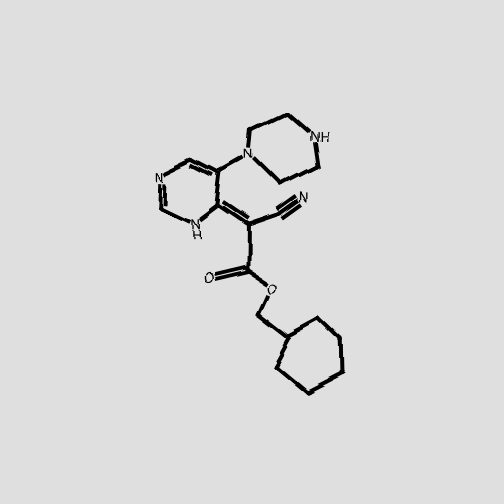 N#CC(C(=O)OCC1CCCCC1)=C1NC=NC=C1N1CCNCC1